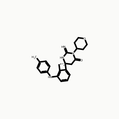 Cc1ccc(Nc2cccc3c2C[C@]32CC(=O)N(C3CCOCC3)C(=N)N2)cc1